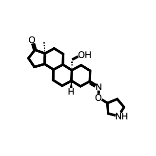 C[C@]12CCC3C(CC[C@H]4CC(=NOC5CCNC5)CC[C@]34CO)C1CCC2=O